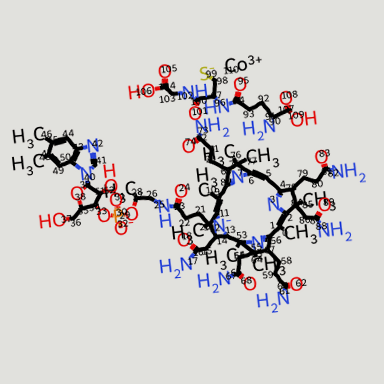 CC1=C2N=C(C=C3N=C(C(C)=C4[N-]C(C(CC(N)=O)C4(C)CCC(=O)NCC(C)OP(=O)([O-])OC4C(CO)OC(n5cnc6cc(C)c(C)cc65)C4O)C4(C)N=C1C(CCC(N)=O)C4(C)CC(N)=O)C(CCC(N)=O)C3(C)C)C(CCC(N)=O)C2(C)CC(N)=O.NC(CCC(=O)NC(C[S-])C(=O)NCC(=O)O)C(=O)O.[Co+3]